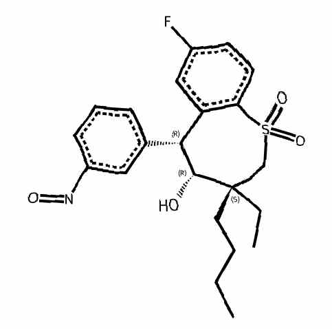 CCCC[C@]1(CC)CS(=O)(=O)c2ccc(F)cc2[C@@H](c2cccc(N=O)c2)[C@H]1O